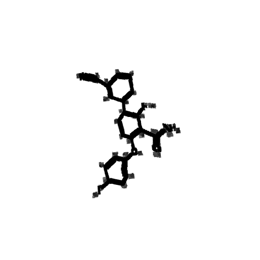 N#Cc1cccc(-c2ccc(Oc3ccc(F)cc3)c(C(N)=O)c2F)c1